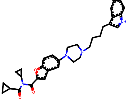 N#Cc1ccc2[nH]cc(CCCCN3CCN(c4ccc5oc(C(=O)N(C(=O)C6CC6)C6CC6)cc5c4)CC3)c2c1